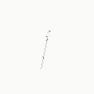 CCCCCCC=CCCCCCCCC=CC(=O)NCC(=O)O